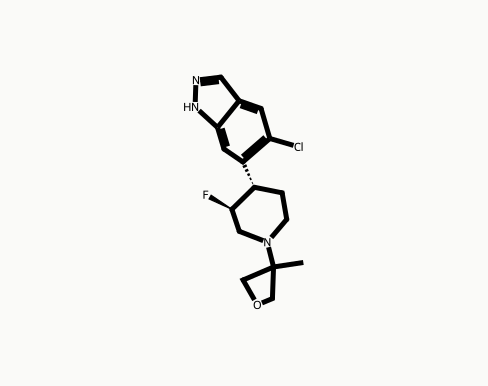 CC1(N2CC[C@@H](c3cc4[nH]ncc4cc3Cl)[C@H](F)C2)COC1